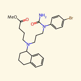 COC(=O)CCCN(CCCN(C(N)=O)c1ccc(Br)cc1)C1CCCc2ccccc21